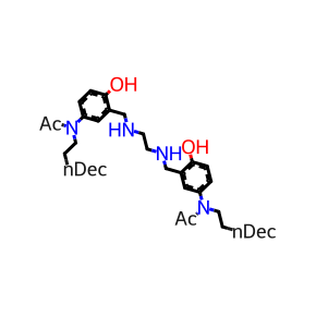 CCCCCCCCCCCCN(C(C)=O)c1ccc(O)c(CNCCNCc2cc(N(CCCCCCCCCCCC)C(C)=O)ccc2O)c1